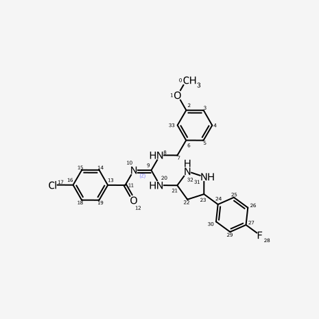 COc1cccc(CN/C(=N/C(=O)c2ccc(Cl)cc2)NC2CC(c3ccc(F)cc3)NN2)c1